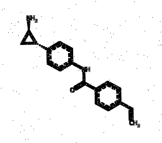 C=Cc1ccc(C(=O)Nc2ccc([C@@H]3C[C@H]3N)cc2)cc1